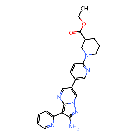 CCOC(=O)C1CCCN(c2ccc(-c3cnc4c(-c5ccccn5)c(N)nn4c3)cn2)C1